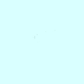 CCCCCCCC.I